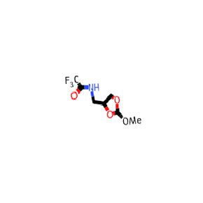 COC1OCC(CNC(=O)C(F)(F)F)O1